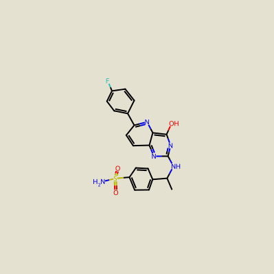 CC(Nc1nc(O)c2nc(-c3ccc(F)cc3)ccc2n1)c1ccc(S(N)(=O)=O)cc1